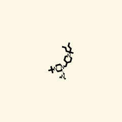 CCCC(C)(CCC)N1CCC(CN2CCN(C(C)(C)C)C[C@H]2CN(C)C)CC1